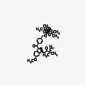 COc1ccc2c(C(=O)c3ccc(COP(=O)(OC(C)(C)C)OC(C)(C)C)cc3)nn(CC(=O)C(C)(C)C)c2c1